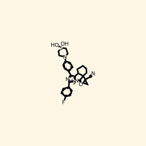 N#CC1(C2(C(N)=O)CCCCC2c2sc(-c3ccc(F)cc3)nc2-c2ccc(N3CCS(O)(O)CC3)cc2)CC1